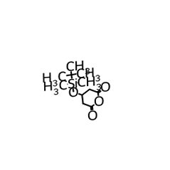 CC(C)(C)[Si](C)(C)OC1CC(=O)OC(=O)C1